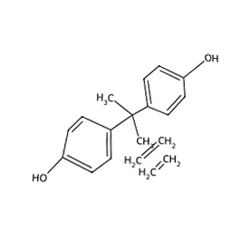 C=C.C=C.CC(C)(c1ccc(O)cc1)c1ccc(O)cc1